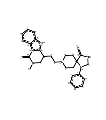 CN1CC(CCN2CCC3(CC2)C(=O)NCN3c2ccccc2)c2nc3ccccc3n2C1=O